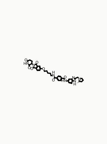 C[C@H]1CCCN1Cc1nc2cc(NC(=O)c3ccc(C(=O)NCCCCCOc4ccc5c(c4)C(=O)N(C4CCC(=O)NC4=O)C5=O)cc3)ccc2[nH]1